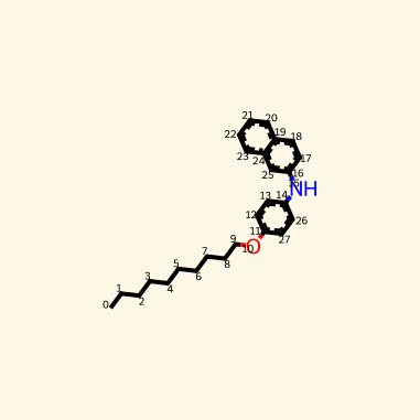 CCCCCCCCCCOc1ccc(Nc2ccc3ccccc3c2)cc1